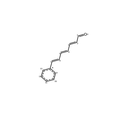 O=[C]C=CC=CC=Cc1ccccc1